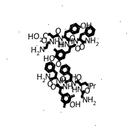 Cc1cc(CC(NC(=O)C(Cc2ccc(Oc3cc(CC(NC(=O)C(Cc4ccc(O)cc4)NC(=O)C(CC(=O)O)NC(=O)CN)C(=O)NC(Cc4ccccc4)C(N)=O)cc(C)c3O)cc2)NC(=O)C(CC(C)C)NC(=O)CN)C(=O)NC(Cc2ccccc2)C(N)=O)cc(C)c1O